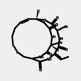 C/C=C1/NC(=O)C2CSSCC/C=C\[C@H](CC(=O)N[C@@H](C(C)C)C(=O)N2)OC(=O)C(C(C)C)NC1=O